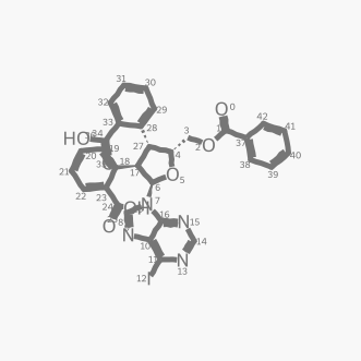 O=C(OC[C@@H]1O[C@@H](n2cnc3c(I)ncnc32)[C@@H](c2ccccc2C(=O)O)[C@@H]1c1ccccc1C(=O)O)c1ccccc1